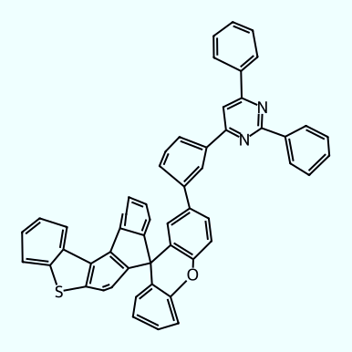 c1ccc(-c2cc(-c3cccc(-c4ccc5c(c4)C4(c6ccccc6O5)c5ccccc5-c5c4ccc4sc6ccccc6c54)c3)nc(-c3ccccc3)n2)cc1